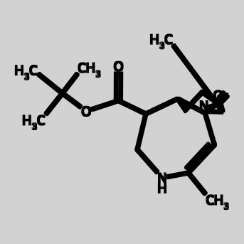 CC1=CC23N=C(C)OC2=CCCC3C(C(=O)OC(C)(C)C)CN1